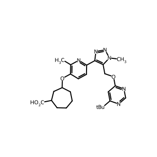 Cc1nc(-c2nnn(C)c2COc2cc(C(C)(C)C)ncn2)ccc1OC1CCCCC(C(=O)O)C1